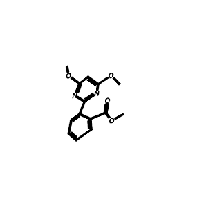 COC(=O)c1ccccc1-c1nc(OC)cc(OC)n1